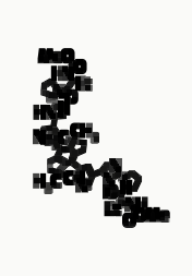 CCC(NC(=O)OC)C(=O)N1CCC[C@H]1c1ncc(-c2cncc(-c3c4c(c(-c5cncc(-c6cnc([C@@H]7CCCN7C(=O)[C@@H](CC)NC(=O)OC)[nH]6)c5)c5c3C(C)(C)CC5)C(C)(C)CC4)c2)[nH]1